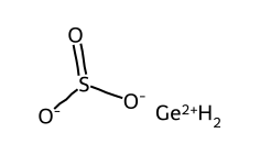 O=S([O-])[O-].[GeH2+2]